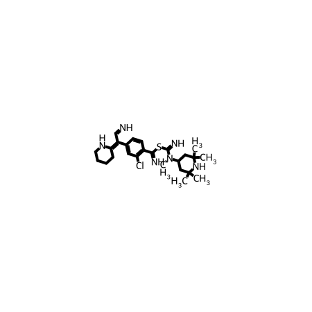 CN(C(=N)SC(=N)c1ccc(/C(C=N)=C2\CCCCN2)cc1Cl)C1CC(C)(C)NC(C)(C)C1